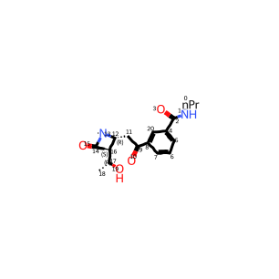 CCCNC(=O)c1cccc(C(=O)C[C@H]2[N]C(=O)[C@@H]2[C@@H](C)O)c1